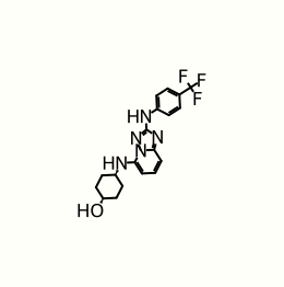 O[C@H]1CC[C@@H](Nc2cccc3nc(Nc4ccc(C(F)(F)F)cc4)nn23)CC1